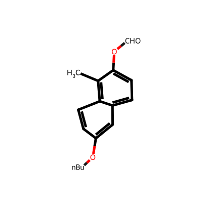 CCCCOc1ccc2c(C)c(OC=O)ccc2c1